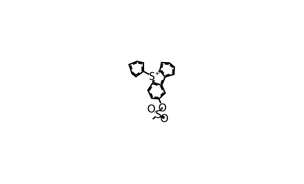 CS(=O)(=O)Oc1ccc2c(c1)c1ccccc1[s+]2-c1ccccc1